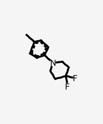 Cc1ccc(N2CCC(F)(F)CC2)cc1